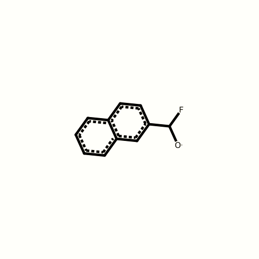 [O]C(F)c1ccc2ccccc2c1